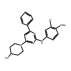 COc1ccc(Nc2nc(-c3ccccc3)cc(N3CCC(O)CC3)n2)cc1Cl